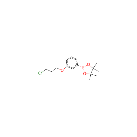 CC1(C)OB(c2cccc(OCCCCl)c2)OC1(C)C